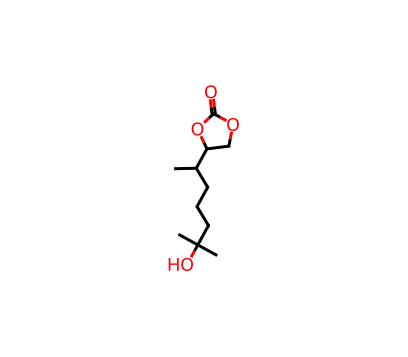 CC(CCCC(C)(C)O)C1COC(=O)O1